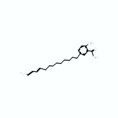 CC=CC=CCCCCCCCCCc1ccc(O)c(C(=O)O)c1